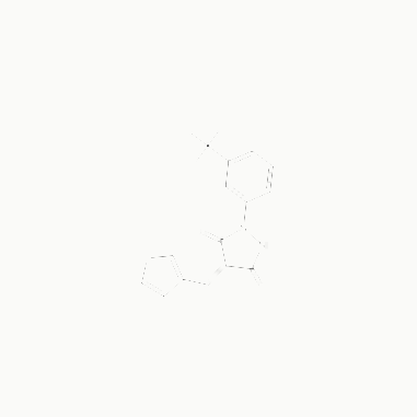 O=C1NN(c2cccc(C(F)(F)F)c2)C(=O)/C1=C\c1ccoc1